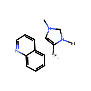 CCN1CN(C)C=C1C(F)(F)F.c1ccc2ncccc2c1